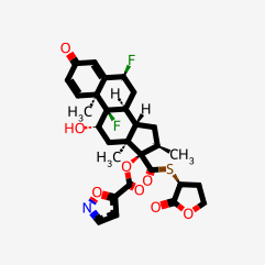 C[C@@H]1C[C@H]2[C@@H]3C[C@H](F)C4=CC(=O)C=C[C@]4(C)[C@@]3(F)[C@@H](O)C[C@]2(C)[C@@]1(OC(=O)c1ccno1)C(=O)S[C@H]1CCOC1=O